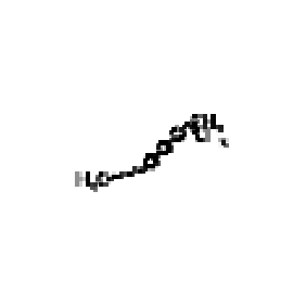 CCCCCCCCc1ccc(-c2ccc(C3=CCC(CC(C)CC)CC3)cc2)cc1